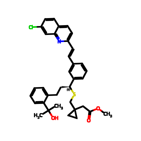 COC(=O)CC1(CS[C@H](CCc2ccccc2C(C)(C)O)c2cccc(C=Cc3ccc4ccc(Cl)cc4n3)c2)CC1